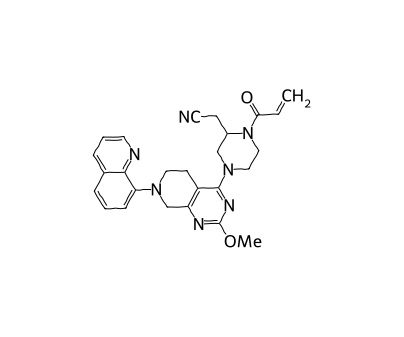 C=CC(=O)N1CCN(c2nc(OC)nc3c2CCN(c2cccc4cccnc24)C3)CC1CC#N